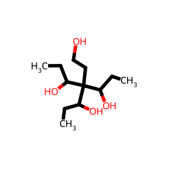 CCC(O)C(CCO)(C(O)CC)C(O)CC